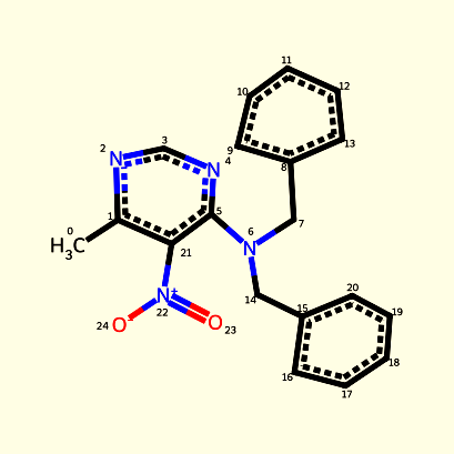 Cc1ncnc(N(Cc2ccccc2)Cc2ccccc2)c1[N+](=O)[O-]